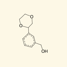 OCc1cccc(C2COCCO2)c1